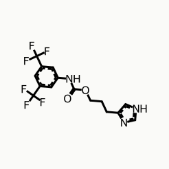 O=C(Nc1cc(C(F)(F)F)cc(C(F)(F)F)c1)OCCCc1c[nH]cn1